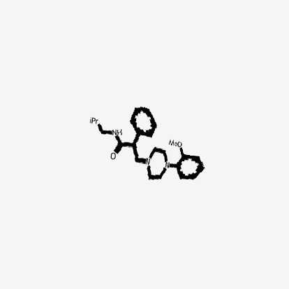 COc1ccccc1N1CCN(CC(C(=O)NCC(C)C)c2ccccc2)CC1